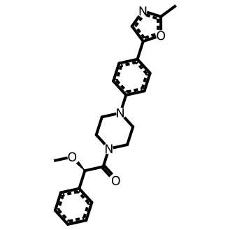 CO[C@@H](C(=O)N1CCN(c2ccc(-c3cnc(C)o3)cc2)CC1)c1ccccc1